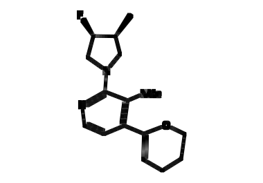 CNc1c(C2=CCCCO2)ccnc1N1C[C@@H](F)[C@@H](C)C1